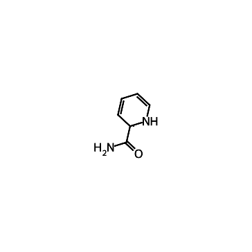 NC(=O)[C]1C=CC=CN1